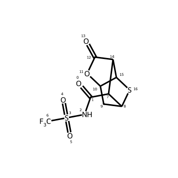 O=C(NS(=O)(=O)C(F)(F)F)C1C2CC3OC(=O)C1C3S2